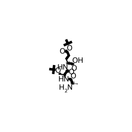 C[C@H](N)C(=O)N[C@@H](COC(C)(C)C)C(=O)N[C@@H](CCC(=O)OC(C)(C)C)C(=O)O